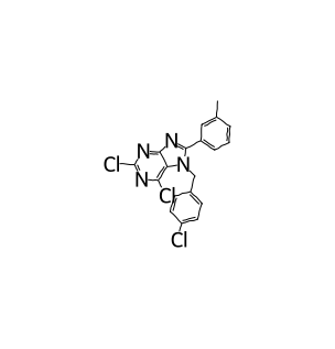 Cc1cccc(-c2nc3nc(Cl)nc(Cl)c3n2Cc2ccc(Cl)cc2)c1